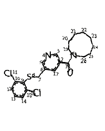 O=C(c1cncc(CSc2c(Cl)cccc2Cl)c1)N1CCCCCCCC1